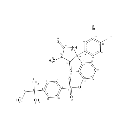 CCC(C)(C)c1ccc(S(=O)(=O)Oc2cccc(C3(c4ccc(F)c(Br)c4)NC(=S)N(C)C3=O)c2)cc1